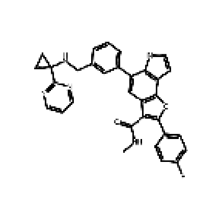 CNC(=O)c1c(-c2ccc(F)cc2)oc2c1cc(-c1cccc(CNC3(c4ncccn4)CC3)c1)c1[nH]ccc12